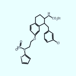 CCOC(=O)NC1CCc2ccc(OCCN(c3cccs3)[SH](=O)=O)cc2C1Cc1cccc(Cl)c1